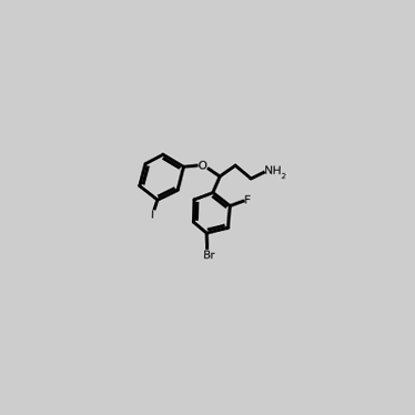 NCCC(Oc1cccc(I)c1)c1ccc(Br)cc1F